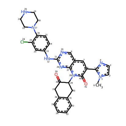 Cn1ccnc1-c1cc2cnc(Nc3ccc(N4CCNCC4)c(Cl)c3)nc2n(C2Cc3ccccc3CC2=O)c1=O